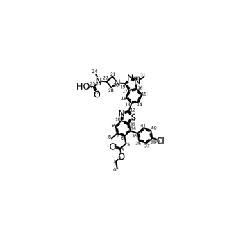 CCOC(=O)Cc1c(C)cc2nc(-c3ccc4c(c3)c(N3CC(N(C)C(=O)O)C3)nn4C)sc2c1-c1ccc(Cl)cc1